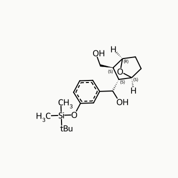 CC(C)(C)[Si](C)(C)Oc1cccc(C(O)[C@@H]2[C@@H](CO)[C@H]3CC[C@@H]2O3)c1